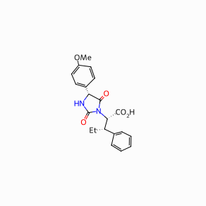 CC[C@@H](c1ccccc1)[C@@H](C(=O)O)N1C(=O)N[C@H](c2ccc(OC)cc2)C1=O